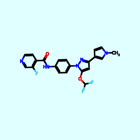 Cn1ccc(-c2cc(OC(F)F)n(-c3ccc(NC(=O)c4ccncc4F)cc3)n2)c1